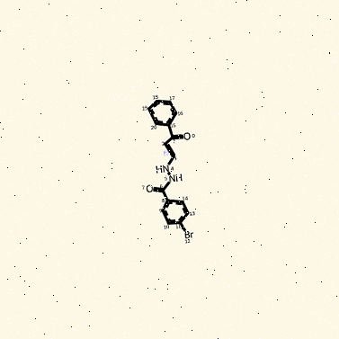 O=C(/C=C/NNC(=O)c1ccc(Br)cc1)c1ccccc1